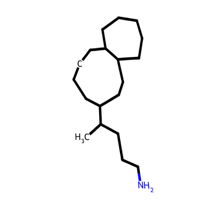 CC(CCCN)C1CCCCC2CCCCCC2CC1